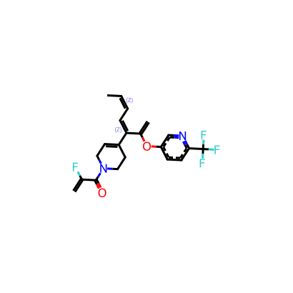 C=C(F)C(=O)N1CC=C(/C(=C/C=C\C)C(=C)Oc2ccc(C(F)(F)F)nc2)CC1